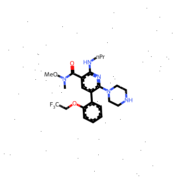 CCCNc1nc(N2CCNCC2)c(-c2ccccc2OCC(F)(F)F)cc1C(=O)N(C)OC